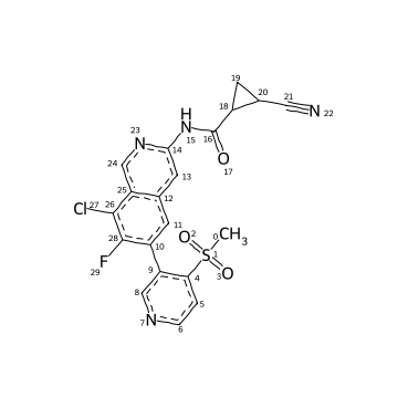 CS(=O)(=O)c1ccncc1-c1cc2cc(NC(=O)C3CC3C#N)ncc2c(Cl)c1F